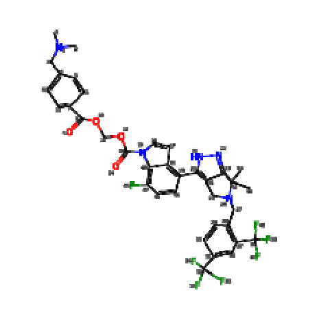 CN(C)Cc1ccc(C(=O)OCOC(=O)n2ccc3c(-c4[nH]nc5c4CN(Cc4ccc(C(F)(F)F)cc4C(F)(F)F)C5(C)C)ccc(F)c32)cc1